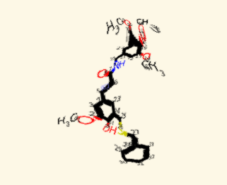 COc1cc(/C=C/C(=O)NCc2cc(OC)c(OC)c(OC)c2)cc(CSCc2ccccc2)c1O